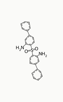 Nc1cc(-c2ccccc2)ccc1S(=O)(=O)c1ccc(-c2ccccc2)cc1N